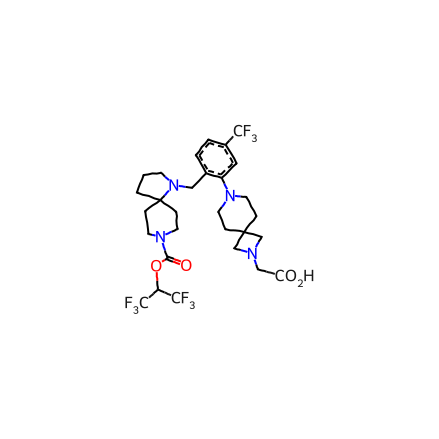 O=C(O)CN1CC2(CCN(c3cc(C(F)(F)F)ccc3CN3CCCC34CCN(C(=O)OC(C(F)(F)F)C(F)(F)F)CC4)CC2)C1